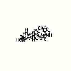 O=C(c1cc([C@H]2NCCc3ccc(Cl)cc32)c(Cl)s1)c1cncnc1N[C@@H]1C[C@H](CNS(=O)(=O)O)[C@@H](O)C1